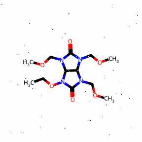 CCON1C(=O)N(COC)C2C1N(COC)C(=O)N2COC